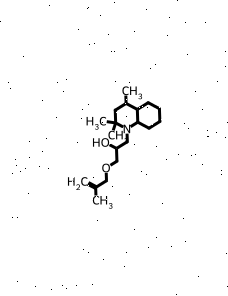 C=C(C)COCC(O)CN1C2CCCCC2C(C)CC1(C)C